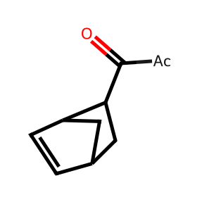 CC(=O)C(=O)C1CC2C=CC1C2